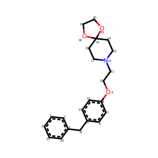 c1ccc(Cc2ccc(OCCN3CCC4(CC3)OCCO4)cc2)cc1